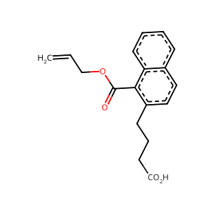 C=CCOC(=O)c1c(CCCC(=O)O)ccc2ccccc12